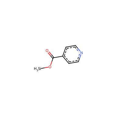 O=C(O[SiH3])c1ccncc1